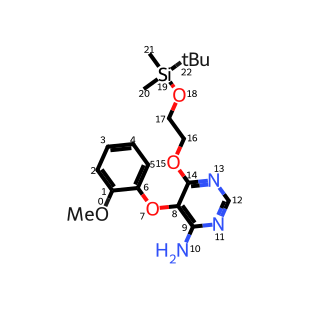 COc1ccccc1Oc1c(N)ncnc1OCCO[Si](C)(C)C(C)(C)C